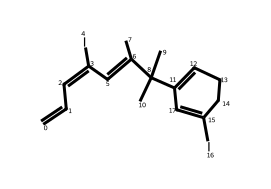 C=C/C=C(I)\C=C(/C)C(C)(C)C1=CCCC(I)=C1